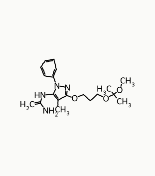 C=C(N)Nc1c(C)c(OCCCOC(C)(C)OC)nn1-c1ccccc1